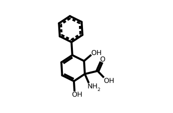 NC1(C(=O)O)C(O)=CC=C(c2ccccc2)C1O